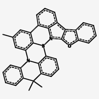 Cc1cc2c3c(c1)N1c4ccccc4C(C)(C)c4cccc(c41)B3n1c3oc4ccccc4c3c3cccc-2c31